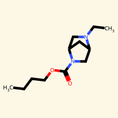 CCCCOC(=O)N1CC2CC1CN2CC